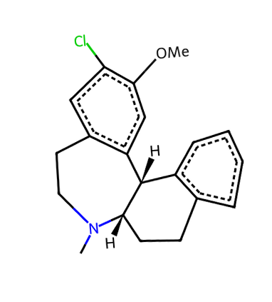 COc1cc2c(cc1Cl)CCN(C)[C@H]1CCc3ccccc3[C@@H]21